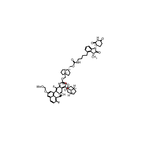 C#Cc1c(F)ccc2cc(OCOC)cc(-c3ncc4c(N5C[C@@H]6CC[C@@H](C5)N6C(=O)OC(C)(C)C)nc(OC[C@@]56CCCN5[C@H](COC(=O)NCCCCc5cccc7c5n(C)c(=O)n7[C@H]5CCC(=O)NC5=O)CC6)nc4c3F)c12